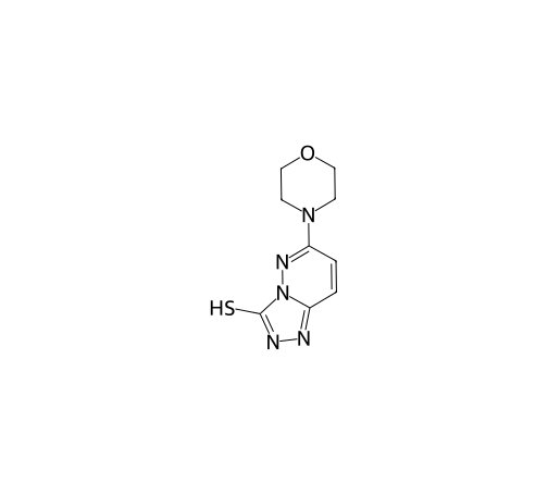 Sc1nnc2ccc(N3CCOCC3)nn12